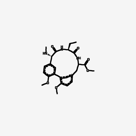 CC[C@@H]1NC(=O)[C@@H](NC)c2ccc(OC)c(c2)-c2cc(ccc2OC)CC(C(=O)OC)NC1=O